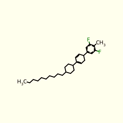 CCCCCCCCCCC1CCC(C2=CCC(c3cc(F)c(C)c(F)c3)C=C2)CC1